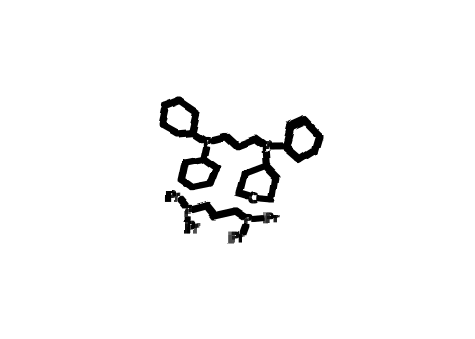 C1CCC(P(CCCP(C2CCCCC2)C2CCCCC2)C2CCCCC2)CC1.CC(C)P(CCCP(C(C)C)C(C)C)C(C)C